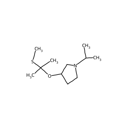 CSC(C)(C)OC1CCN(C(C)C)C1